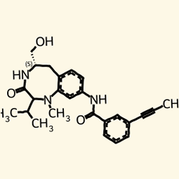 CC#Cc1cccc(C(=O)Nc2ccc3c(c2)N(C)C(C(C)C)C(=O)N[C@H](CO)C3)c1